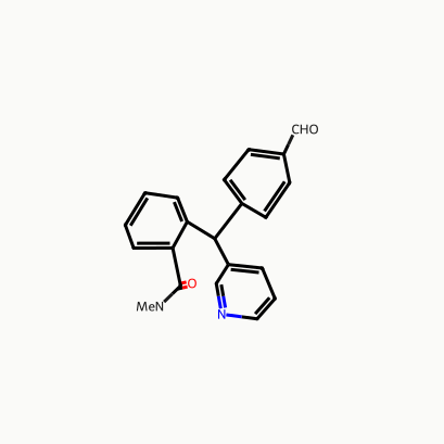 CNC(=O)c1ccccc1C(c1ccc(C=O)cc1)c1cccnc1